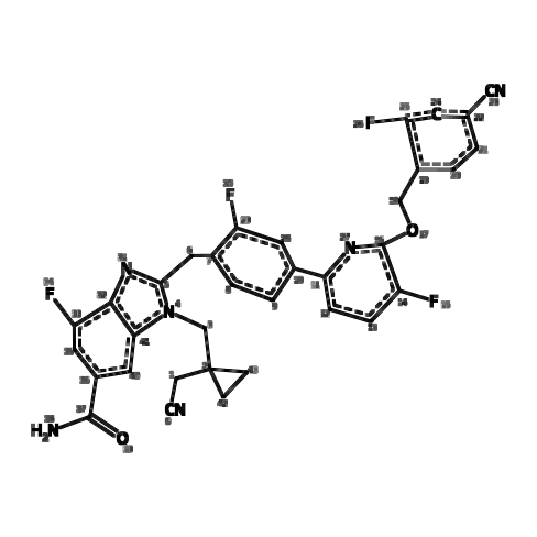 N#CCC1(Cn2c(Cc3ccc(-c4ccc(F)c(OCc5ccc(C#N)cc5F)n4)cc3F)nc3c(F)cc(C(N)=O)cc32)CC1